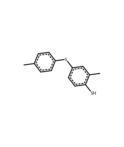 Cc1ccc(Sc2ccc(S)c(C)c2)cc1